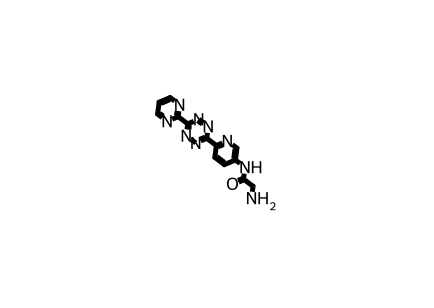 NCC(=O)Nc1ccc(-c2nnc(-c3ncccn3)nn2)nc1